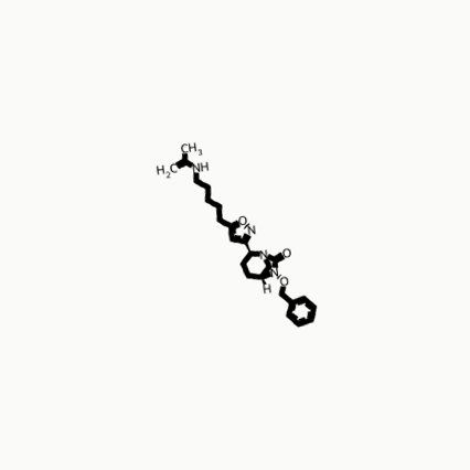 C=C(C)NCCCCCc1cc([C@@H]2CC[C@@H]3CN2C(=O)N3OCc2ccccc2)no1